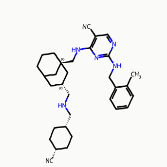 Cc1ccccc1CNc1ncc(C#N)c(NC[C@@]23CCCC(C[C@@H](CNC[C@H]4CC[C@@H](C#N)CC4)C2)C3)n1